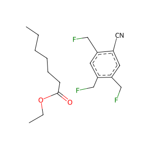 CCCCCCC(=O)OCC.N#Cc1cc(CF)c(CF)cc1CF